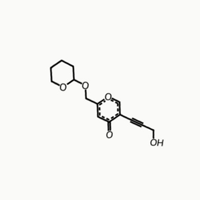 O=c1cc(COC2CCCCO2)occ1C#CCO